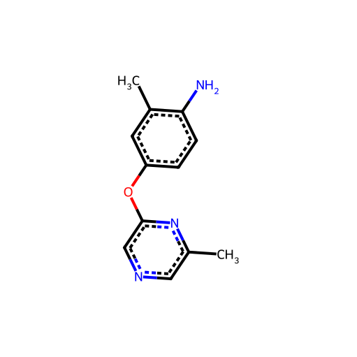 Cc1cncc(Oc2ccc(N)c(C)c2)n1